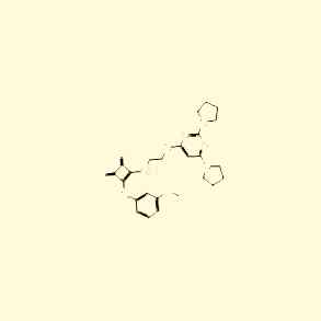 COc1cccc(Nc2c(NCCNc3cc(N4CCCC4)nc(N4CCCC4)n3)c(=O)c2=O)c1